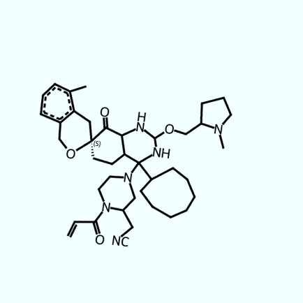 C=CC(=O)N1CCN(C2(C3CCCCCCC3)NC(OCC3CCCN3C)NC3C(=O)[C@]4(CCC32)Cc2c(C)cccc2CO4)CC1CC#N